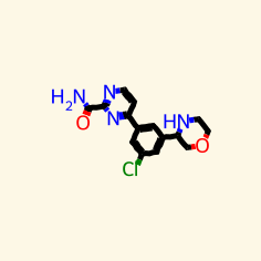 NC(=O)c1nccc(-c2cc(Cl)cc(C3COCCN3)c2)n1